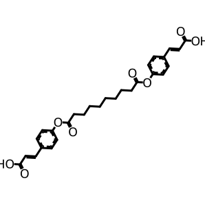 O=C(O)/C=C/c1ccc(OC(=O)CCCCCCCCC(=O)Oc2ccc(/C=C/C(=O)O)cc2)cc1